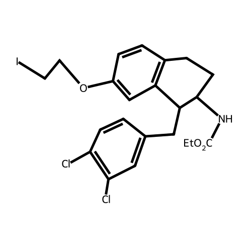 CCOC(=O)NC1CCc2ccc(OCCI)cc2C1Cc1ccc(Cl)c(Cl)c1